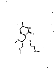 COCCO[C@H]([C@@H](COC)OC)N1C=CC(C)NC1=O